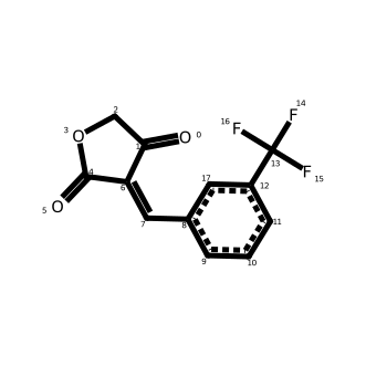 O=C1COC(=O)C1=Cc1cccc(C(F)(F)F)c1